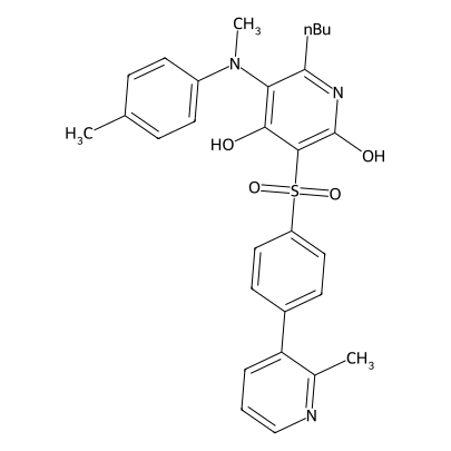 CCCCc1nc(O)c(S(=O)(=O)c2ccc(-c3cccnc3C)cc2)c(O)c1N(C)c1ccc(C)cc1